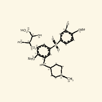 COc1ccc(S(=O)(=O)c2ccc(OC)c(NC3CCN(C)CC3)c2)cc1Cl.O=C(O)C(O)C(O)C(=O)O